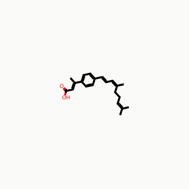 CC(C)=CCCC(C)=CC=Cc1ccc(C(C)=CC(=O)O)cc1